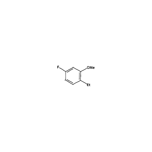 CCc1c[c]c(F)cc1OC